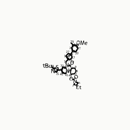 CCC1CN(C(=O)O[C@H]2CC[C@H](C(=O)N(CC34CCC(c5ccc(OC)c(C)c5)(CC3)CC4)c3cc(-c4cnc(C(C)(C)C)s4)ccn3)CC2)C1